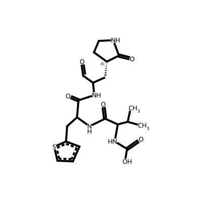 CC(C)C(NC(=O)O)C(=O)NC(Cc1cccs1)C(=O)NC(C=O)C[C@@H]1CCNC1=O